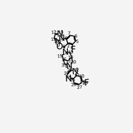 O=C(c1c(F)cccc1-n1nccn1)N1CC2CC(C1)CN(c1cnc3ccc(F)cc3n1)C2